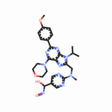 COc1ccc(-c2nc(N3CCOCC3)c3nc(CN(C)c4ncc(C(O)N=O)cn4)n(C(C)C)c3n2)cc1